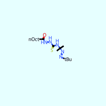 CCCCCCCCC(=O)NNC(=S)NC(C)(C)N=NC(C)(C)C